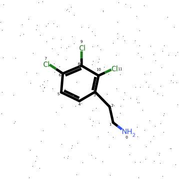 NCCc1ccc(Cl)c(Cl)c1Cl